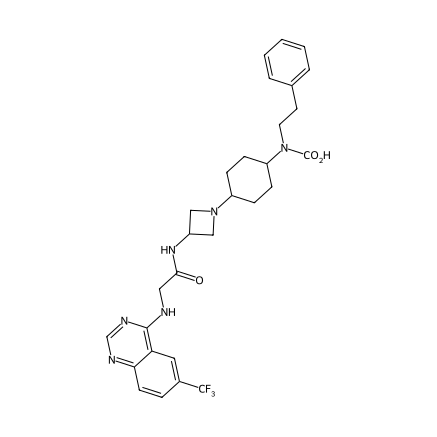 O=C(CNc1ncnc2ccc(C(F)(F)F)cc12)NC1CN(C2CCC(N(CCc3ccccc3)C(=O)O)CC2)C1